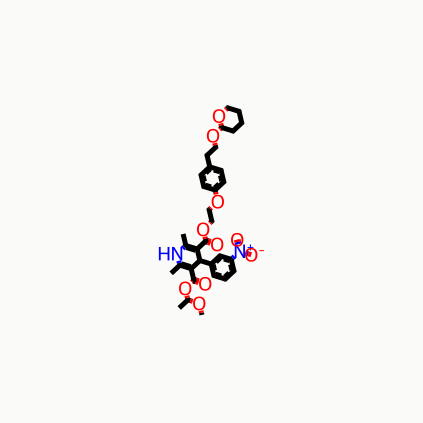 COC(C)OC(=O)C1=C(C)NC(C)=C(C(=O)OCCOc2ccc(CCOC3CCCCO3)cc2)C1c1cccc([N+](=O)[O-])c1